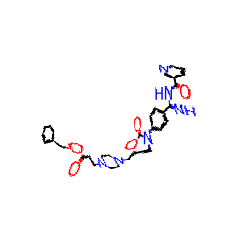 N=C(NC(=O)c1cccnc1)c1ccc(N2CC(CN3CCN(CCC(=O)OCc4ccccc4)CC3)OC2=O)cc1